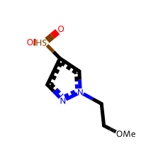 COCCn1cc([SH](=O)=O)cn1